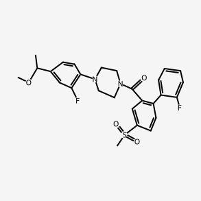 COC(C)c1ccc(N2CCN(C(=O)c3cc(S(C)(=O)=O)ccc3-c3ccccc3F)CC2)c(F)c1